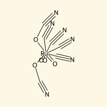 N#C[O][Ru](=[O])(=[O])(=[O])([C]#N)([C]#N)([C]#N)([C]#N)[O]C#N